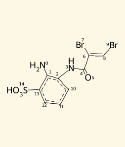 Nc1c(NC(=O)C(Br)=CBr)cccc1S(=O)(=O)O